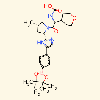 C[C@H]1C[C@@H](c2ncc(-c3ccc(B4OC(C)(C)C(C)(C)O4)cc3)[nH]2)N(C(=O)[C@@H](NC(=O)O)C2CCOCC2)C1